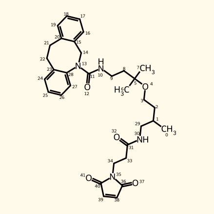 CC(CCOC(C)(C)CCNC(=O)N1Cc2ccccc2CCc2ccccc21)CNC(=O)CCN1C(=O)C=CC1=O